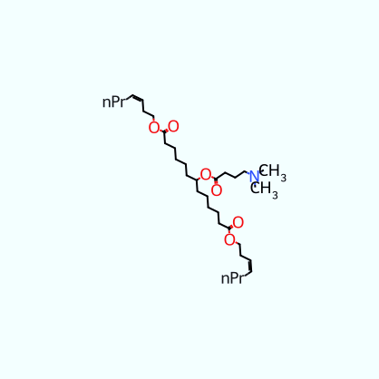 CCC/C=C\CCOC(=O)CCCCCC(CCCCCC(=O)OCC/C=C\CCC)OC(=O)CCCN(C)C